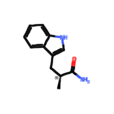 C[C@@H](Cc1c[nH]c2ccccc12)C(N)=O